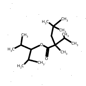 CC(C)C(OC(=O)C(C)(CC(C)(C)C)C(C)C)C(C)C